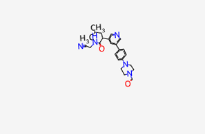 CC(C)CC(C(=O)NCC#N)c1cncc(-c2ccc(N3CCN(C=O)CC3)cc2)c1